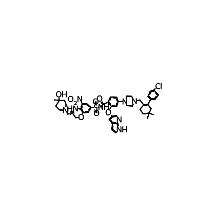 CC1(C)CCC(CN2CCN(c3ccc(C(=O)NS(=O)(=O)c4cc5c(c([N+](=O)[O-])c4)N[C@H](CN4CCC(C)(O)CC4)CO5)c(Oc4cnc5[nH]ccc5c4)c3)CC2)=C(c2ccc(Cl)cc2)C1